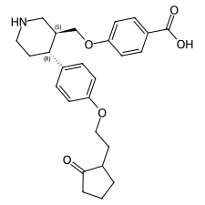 O=C(O)c1ccc(OC[C@@H]2CNCC[C@H]2c2ccc(OCCC3CCCC3=O)cc2)cc1